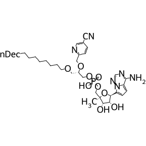 CCCCCCCCCCCCCCCCCCOC[C@@H](COP(=O)(O)OC[C@@]1(C)O[C@@H](c2ccc3c(N)ncnn23)[C@H](O)[C@@H]1O)OCc1ccc(C#N)cn1